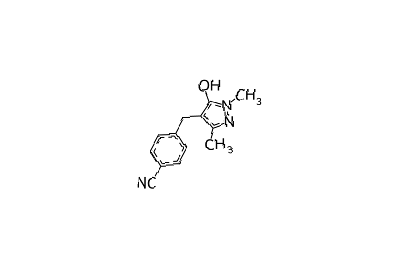 Cc1nn(C)c(O)c1Cc1ccc(C#N)cc1